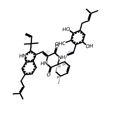 C=CC(C)(C)c1[nH]c2cc(CC=C(C)C)ccc2c1/C=C1\NC(=O)[C@@]2(C[C@@H](C)C=C[C@H]2/C=C/c2c(O)cc(CC=C(C)C)c(O)c2C=O)NC1=O